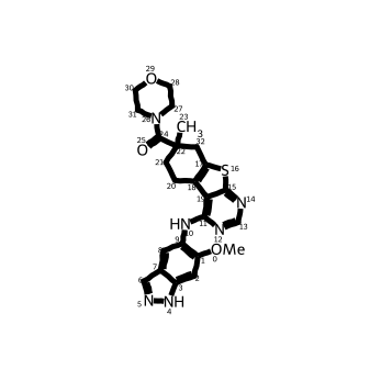 COc1cc2[nH]ncc2cc1Nc1ncnc2sc3c(c12)CCC(C)(C(=O)N1CCOCC1)C3